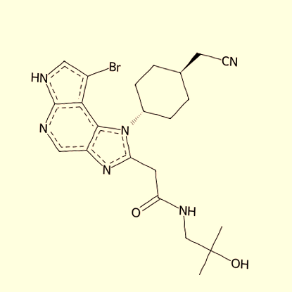 CC(C)(O)CNC(=O)Cc1nc2cnc3[nH]cc(Br)c3c2n1[C@H]1CC[C@H](CC#N)CC1